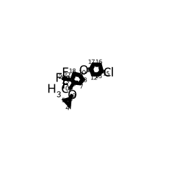 CC(OC1CC1)c1ccc(Oc2ccc(Cl)cc2)cc1C(F)(F)F